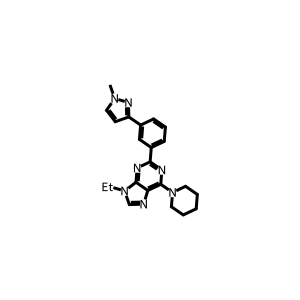 CCn1cnc2c(N3CCCCC3)nc(-c3cccc(-c4ccn(C)n4)c3)nc21